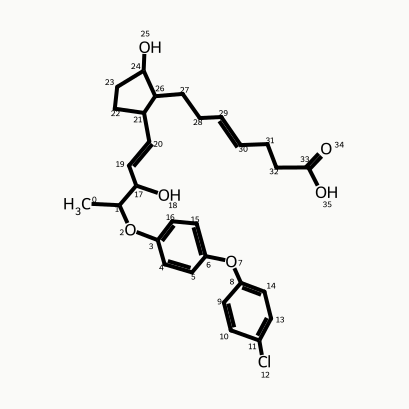 CC(Oc1ccc(Oc2ccc(Cl)cc2)cc1)C(O)C=CC1CCC(O)C1CCC=CCCC(=O)O